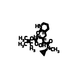 CN(C(=O)C(O)[C@H](C[C@@H]1CCCNC1=O)NC(=O)OC(C)(C)C)C1CC1